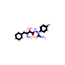 NC(=O)N(NC(=O)C(O)[C@H](N)CC1CCCCC1)c1ccc(I)cc1